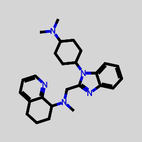 CN(C)C1CCC(n2c(CN(C)C3CCCc4cccnc43)nc3ccccc32)CC1